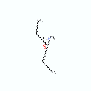 CCCCCCCC/C=C\CCCCCCCC(=O)C[C@@H](CCCN(C)C)C(=O)CCCCCCC/C=C\CCCCCCCC